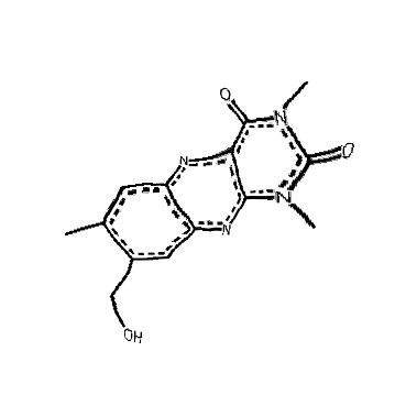 Cc1cc2nc3c(=O)n(C)c(=O)n(C)c3nc2cc1CO